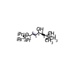 CC(C)[Si](OC/C=C/C(O)C#C[Si](C)(C)C)(C(C)C)C(C)C